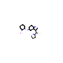 CC(c1c[nH]c2ccc(Nc3ccccc3[N+](=O)[O-])cc12)C1CCCN1